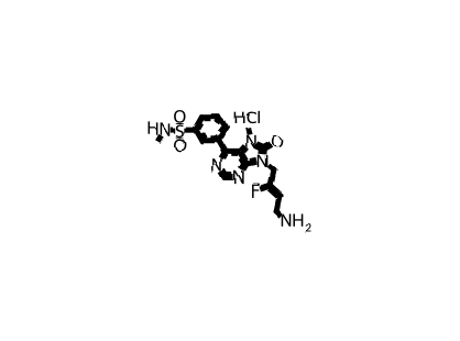 CNS(=O)(=O)c1cccc(-c2ncnc3c2n(C)c(=O)n3CC(F)=CCN)c1.Cl